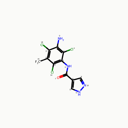 Nc1c(Cl)c(NC(=O)c2cn[nH]c2)c(Cl)c(C(F)(F)F)c1Cl